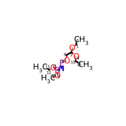 CCOC(COP=NP(OC)OCC)OCC